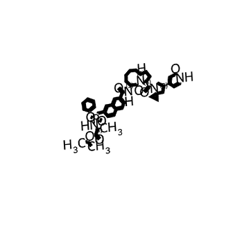 CC(C)OC(=O)[C@H](C)NP(=O)(Cc1ccc2ccc(C(=O)N[C@H]3CCCC[C@H]4CC[C@@H](C(=O)N5C[C@@H](c6cc[nH]c(=O)c6)CC56CC6)N4C3=O)cc2c1)Oc1ccccc1